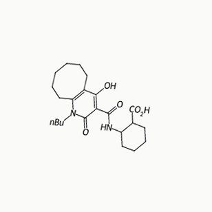 CCCCn1c2c(c(O)c(C(=O)NC3CCCCC3C(=O)O)c1=O)CCCCCC2